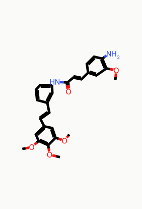 COc1cc(/C=C/C(=O)Nc2cccc(/C=C/c3cc(OC)c(OC)c(OC)c3)c2)ccc1N